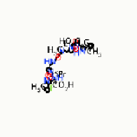 CC[C@@H](C(=O)N[C@@H](CC(=O)O)c1cncc(-c2c(C)cccc2C)c1)n1cc(CCN(C)CCOCCNCCc2ccc(=O)n([C@@H](CC(C)C)C(=O)N[C@@H](CC(=O)O)c3cncc(-c4c(C)cccc4F)c3)c2)ccc1=O